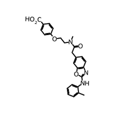 Cc1ccccc1Nc1nc2ccc(CC(=O)N(C)CCOc3ccc(C(=O)O)cc3)cc2o1